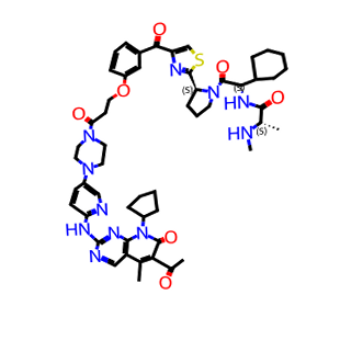 CN[C@@H](C)C(=O)N[C@H](C(=O)N1CCC[C@H]1c1nc(C(=O)c2cccc(OCCC(=O)N3CCN(c4ccc(Nc5ncc6c(C)c(C(C)=O)c(=O)n(C7CCCC7)c6n5)nc4)CC3)c2)cs1)C1CCCCC1